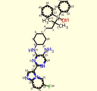 CC(C)(CC[C@H]1CC[C@H](Nc2nc(-c3cnc4ccc(F)cn34)ncc2N)CC1)[Si](O)(c1ccccc1)c1ccccc1